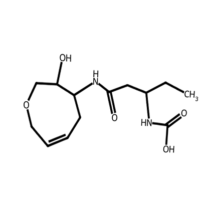 CCC(CC(=O)NC1CC=CCOCC1O)NC(=O)O